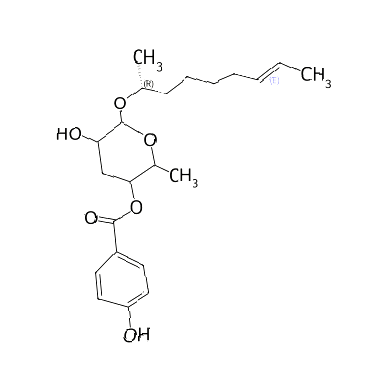 C/C=C/CCCC[C@@H](C)OC1OC(C)C(OC(=O)c2ccc(O)cc2)CC1O